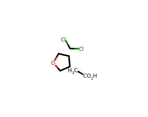 C1CCOC1.CC(=O)O.ClCCl